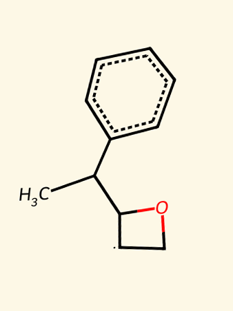 CC(c1ccccc1)C1[CH]CO1